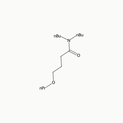 CCCCN(CCCC)C(=O)CCCOCCC